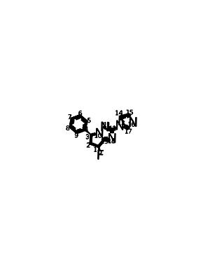 F[C@H]1C[C@@H](c2ccccc2)n2nc(-n3ccnc3)nc21